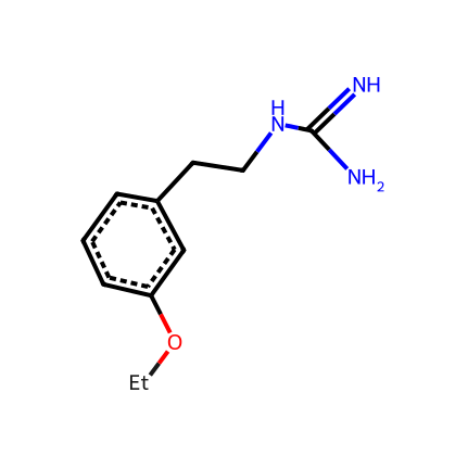 CCOc1cccc(CCNC(=N)N)c1